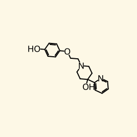 Oc1ccc(OCCN2CCC(O)(c3ccccn3)CC2)cc1